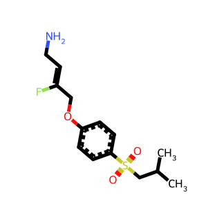 CC(C)CS(=O)(=O)c1ccc(OC/C(F)=C/CN)cc1